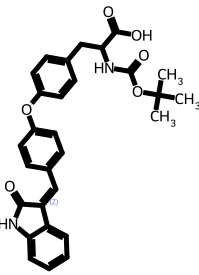 CC(C)(C)OC(=O)NC(Cc1ccc(Oc2ccc(/C=C3\C(=O)Nc4ccccc43)cc2)cc1)C(=O)O